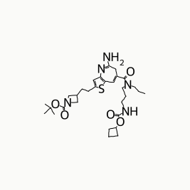 CCCN(CCCNC(=O)OC1CCC1)C(=O)C1=Cc2sc(CCC3CN(C(=O)OC(C)(C)C)C3)cc2N=C(N)C1